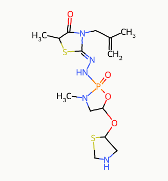 C=C(C)CN1C(=O)C(C)SC1=NNP1(=O)OC(OC2CNCS2)CN1C